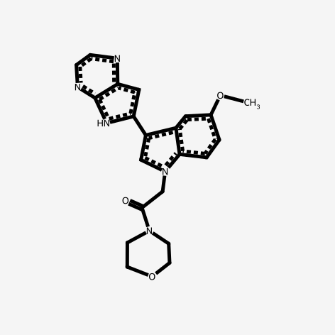 COc1ccc2c(c1)c(-c1cc3nccnc3[nH]1)cn2CC(=O)N1CCOCC1